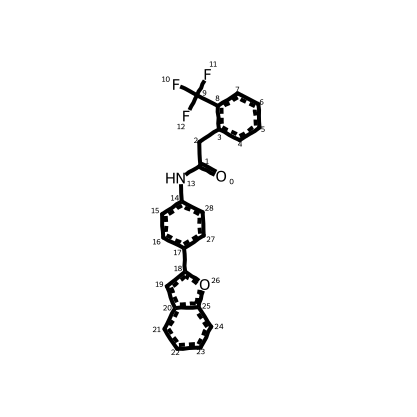 O=C(Cc1ccccc1C(F)(F)F)Nc1ccc(-c2cc3ccccc3o2)cc1